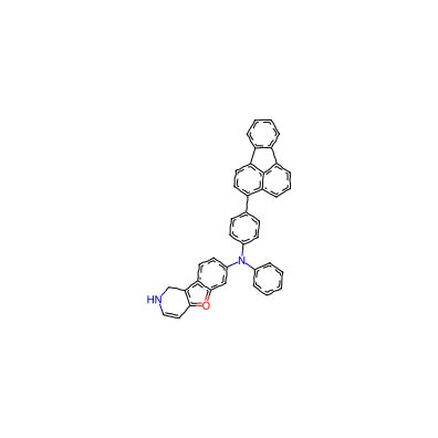 C1=Cc2oc3cc(N(c4ccccc4)c4ccc(-c5ccc6c7c(cccc57)-c5ccccc5-6)cc4)ccc3c2CN1